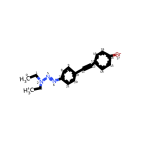 CCN(CC)N=Nc1ccc(C#Cc2ccc(Br)cc2)cc1